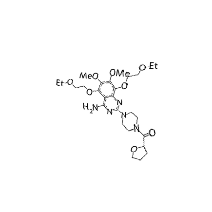 CCOCCOc1c(OC)c(OC)c(OCCOCC)c2c(N)nc(N3CCN(C(=O)C4CCCO4)CC3)nc12